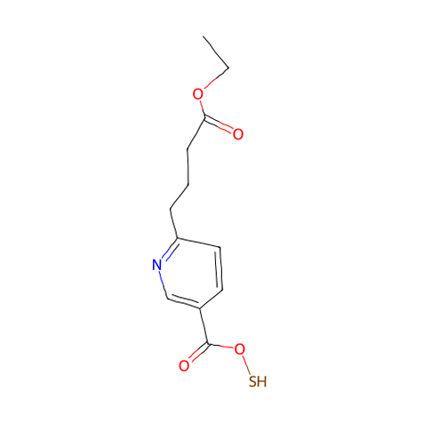 CCOC(=O)CCCc1ccc(C(=O)OS)cn1